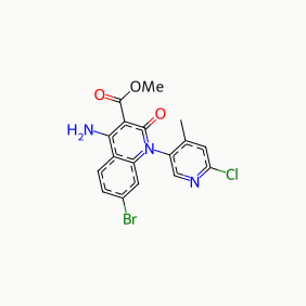 COC(=O)c1c(N)c2ccc(Br)cc2n(-c2cnc(Cl)cc2C)c1=O